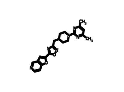 Cc1cc(C)nc(N2CCC(Cc3noc(-c4cc5cnccc5o4)n3)CC2)n1